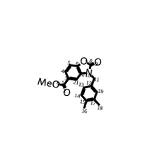 COC(=O)c1ccc2oc(=O)n(Cc3ccc(C)c(C)c3)c2c1